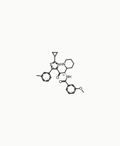 COc1cccc(C(=O)N[C@H](C(=O)c2nc(C3CC3)sc2-c2cccc(C)c2)C2CCCCN2)c1